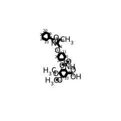 COc1cc(NS(=O)(=O)c2ccc(OCc3nc(-c4ccccc4)oc3C)cc2)c(C(=O)O)cc1OC